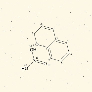 C1=Cc2ccccc2OC1.O=S(O)O